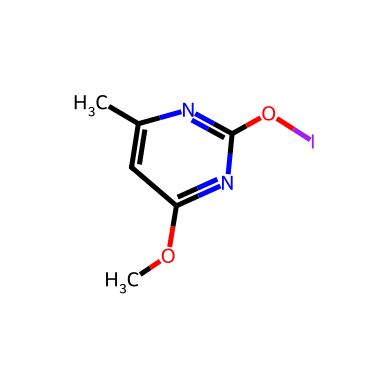 COc1cc(C)nc(OI)n1